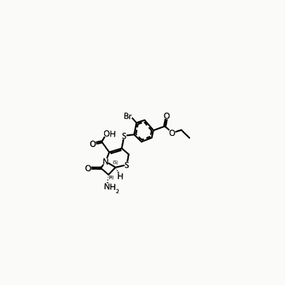 CCOC(=O)c1ccc(SC2=C(C(=O)O)N3C(=O)[C@@H](N)[C@@H]3SC2)c(Br)c1